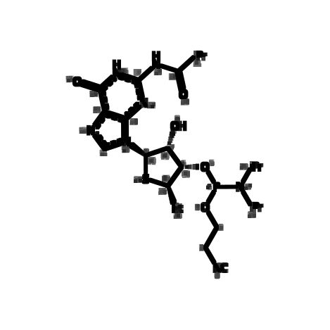 [C-]#[N+]CCOP(O[C@H]1[C@@H](O)[C@H](n2cnc3c(=O)[nH]c(NC(=O)C(C)C)nc32)S[C@@H]1CC)N(C(C)C)C(C)C